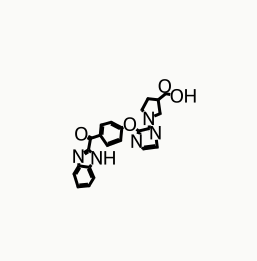 O=C(c1ccc(Oc2nccnc2N2CCC(C(=O)O)C2)cc1)c1nc2ccccc2[nH]1